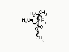 CCCOC(=O)N(CCC(C)(C)C)CC(C)C